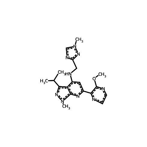 COc1nccnc1-c1cc(NCc2ncn(C)n2)c2c(C(C)C)nn(C)c2n1